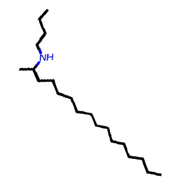 CCCCCCCCCCCCCCC(C)NCCCC